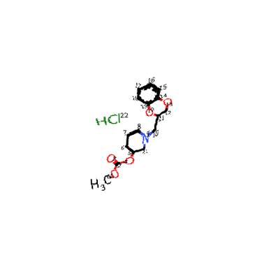 COC(=O)OC1CCCN(CC2COc3ccccc3O2)C1.Cl